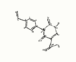 C=Cc1ccc(-n2c(=O)c(C(C)=O)nn(C)c2=O)cc1